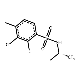 Cc1ccc(S(=O)(=O)N[C@@H](C)C(F)(F)F)c(F)c1Cl